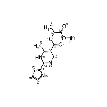 CC1=C(C(=O)OC(C)C(=O)OC(C)C)CN=C(c2nccs2)N1